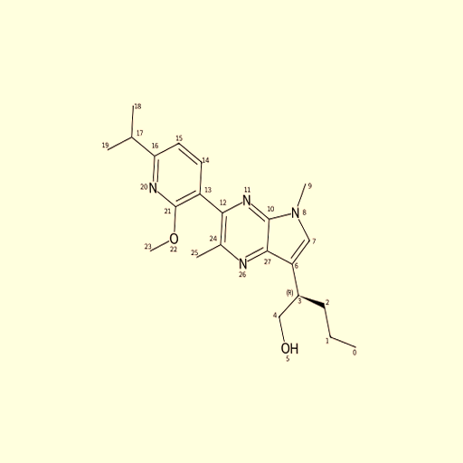 CCC[C@@H](CO)c1cn(C)c2nc(-c3ccc(C(C)C)nc3OC)c(C)nc12